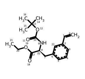 C=Cc1cccc(C[C@H](NC(=O)OC(C)(C)C)C(=O)OCC)c1